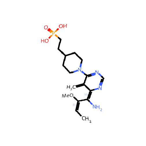 C=c1c(N2CCC(CCP(=O)(O)O)CC2)ncn/c1=C(N)/C(=C\C)OC